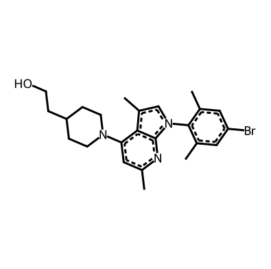 Cc1cc(N2CCC(CCO)CC2)c2c(C)cn(-c3c(C)cc(Br)cc3C)c2n1